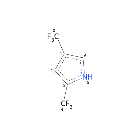 FC(F)(F)c1[c]c(C(F)(F)F)[nH]c1